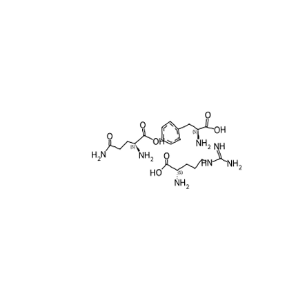 N=C(N)NCCC[C@H](N)C(=O)O.NC(=O)CC[C@H](N)C(=O)O.N[C@@H](Cc1ccccc1)C(=O)O